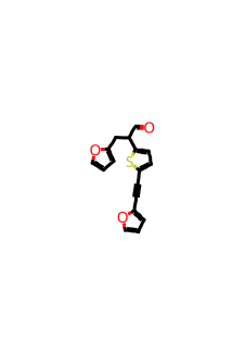 O=CC(Cc1ccco1)c1ccc(C#Cc2ccco2)s1